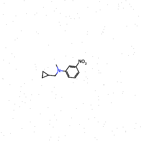 CN(CC1CC1)c1cccc([N+](=O)[O-])c1